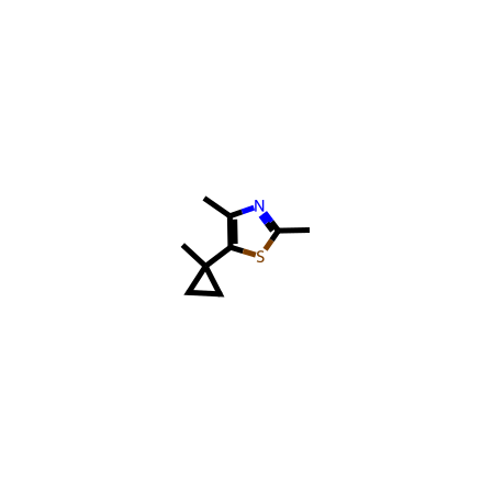 Cc1nc(C)c(C2(C)CC2)s1